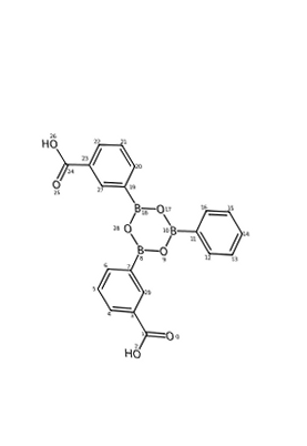 O=C(O)c1cccc(B2OB(c3ccccc3)OB(c3cccc(C(=O)O)c3)O2)c1